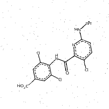 CCCNc1ccc(Cl)c(C(=O)Nc2c(Cl)cc(C(=O)O)cc2Cl)n1